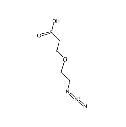 [N-]=[N+]=NCCOCCS(=O)O